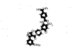 CCCC(=N)c1ccc(C(=O)Nc2cc(N3CCN(C(=O)c4c(-c5cccc(OC)c5)noc4C)CC3)c(Cl)cc2[N+](=O)[O-])cc1